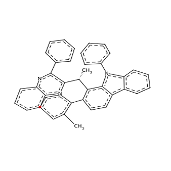 Cc1ccccc1-c1ccc2c3ccccc3n(-c3ccccc3)c2c1[C@@H](C)c1nc2ccccc2nc1-c1ccccc1